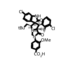 COc1cc(C(=O)O)ccc1N1CN2[C@@H](CC(C)(C)C)[C@@]3(C(=O)Nc4cc(Cl)ccc43)[C@@H](c3cccc(Cl)c3F)[C@@H]2C1=O